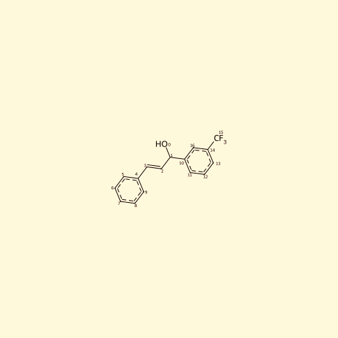 OC(C=Cc1ccccc1)c1cccc(C(F)(F)F)c1